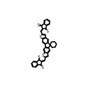 S=C1C(=Cc2cc3cc4c(cc3s2)-c2cc3sc(C=C5C(=S)c6ccccc6C5=S)cc3cc2C42CCCCC2)C(=S)c2ccccc21